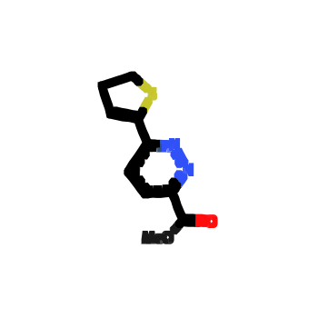 COC(=O)c1ccc(C2=CCCS2)nn1